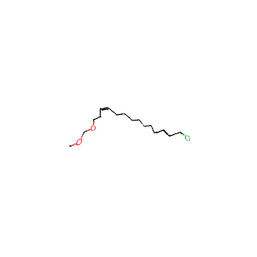 COCOCC/C=C\CCCCCCCCCCCl